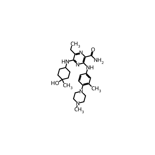 CCc1nc(C(N)=O)c(Nc2ccc(N3CCN(C)CC3)c(C)c2)nc1NC1CCC(C)(O)CC1